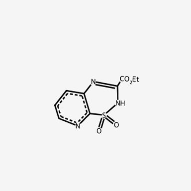 CCOC(=O)C1=Nc2cccnc2S(=O)(=O)N1